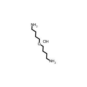 Cl.NCCCCOCCCCN